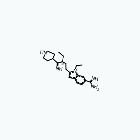 CC[C@@H](CCc1cc2ccc(C(=N)N)cc2n1CC)C(=N)C1CCNCC1